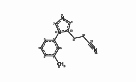 Cc1cccc(-n2cncc2CCC#N)c1